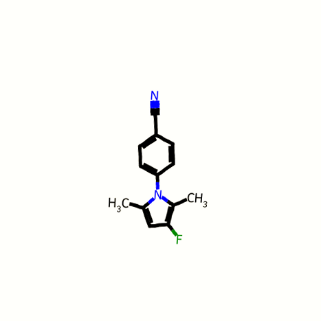 Cc1cc(F)c(C)n1-c1ccc(C#N)cc1